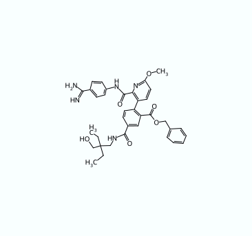 CCC(CC)(CO)CNC(=O)c1ccc(-c2ccc(OC)nc2C(=O)Nc2ccc(C(=N)N)cc2)c(C(=O)OCc2ccccc2)c1